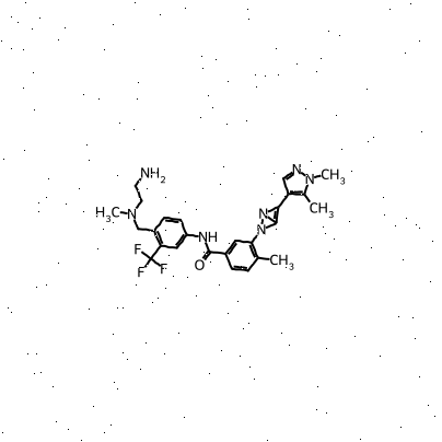 Cc1ccc(C(=O)Nc2ccc(CN(C)CCN)c(C(F)(F)F)c2)cc1-n1c2c(-c3cnn(C)c3C)n1-2